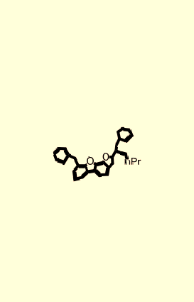 CCC/C=C(/CC1C=CC=CC1)C1Cc2ccc3c(oc4c(Cc5ccccc5)cccc43)c2O1